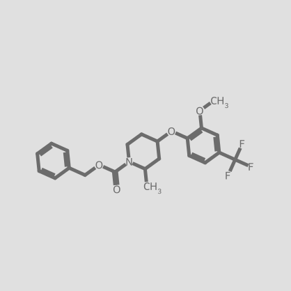 COc1cc(C(F)(F)F)ccc1OC1CCN(C(=O)OCc2ccccc2)C(C)C1